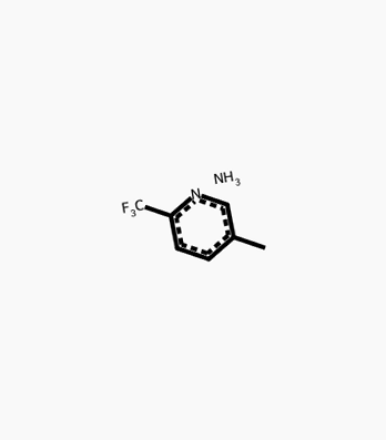 Cc1ccc(C(F)(F)F)nc1.N